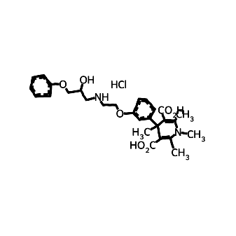 CC1=C(C(=O)O)C(C)(c2cccc(OCCNCC(O)COc3ccccc3)c2)C(C(=O)O)=C(C)N1C.Cl